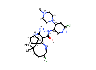 CCCCC1(CC)CCC(Cl)/C=N\C(C(C(=N)N)C(=O)NC2CNC(Cl)CC2N2CCN(C)CC2)C12CCCC2